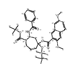 COc1ccc2cc(OC)c(C(=O)OC3(O[Si](C)(C)C(C)(C)C)CCCN(C(=O)OC(C)(C)C)C(NC(=O)c4ccccc4)C3)cc2c1